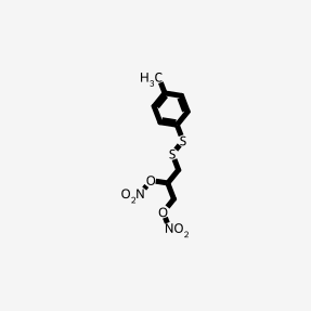 Cc1ccc(SSCC(CO[N+](=O)[O-])O[N+](=O)[O-])cc1